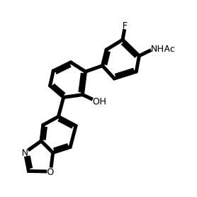 CC(=O)Nc1ccc(-c2cccc(-c3ccc4ocnc4c3)c2O)cc1F